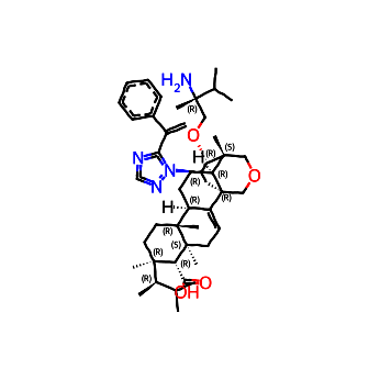 C=C(c1ccccc1)c1ncnn1[C@@H]1C[C@@]23COC[C@](C)([C@@H]2CC[C@H]2C3=CC[C@@]3(C)[C@H](C(=O)O)[C@@](C)([C@H](C)C(C)C)CC[C@]23C)[C@H]1OC[C@](C)(N)C(C)C